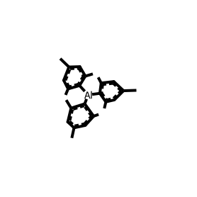 Cc1cc(C)[c]([Al]([c]2c(C)cc(C)cc2C)[c]2c(C)cc(C)cc2C)c(C)c1